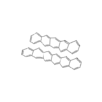 c1ccc2cc3cc4cc5cc6ccccc6cc5cc4cc3cc2c1.c1ccc2cc3cc4cc5ccccc5cc4cc3cc2c1